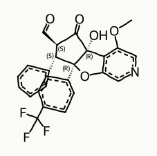 COc1cncc2c1[C@]1(O)C(=O)[C@H](C=O)[C@@H](c3ccccc3)[C@]1(c1ccc(C(F)(F)F)cc1)O2